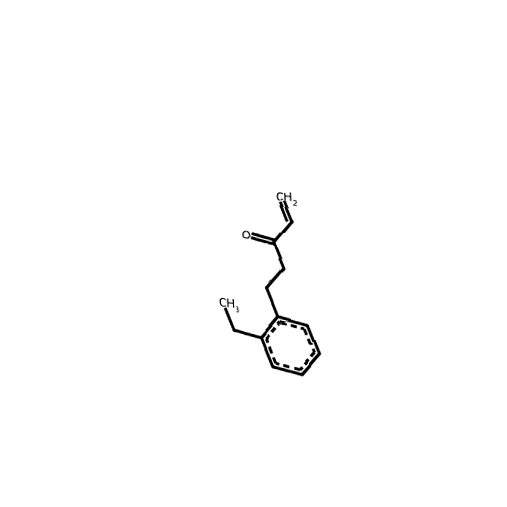 C=CC(=O)CCc1ccccc1CC